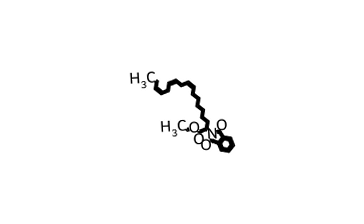 CC/C=C\C/C=C\C/C=C\CCCCCCC(C(=O)OCC)N1C(=O)c2ccccc2C1=O